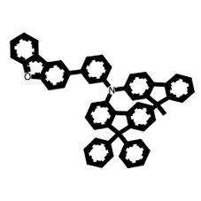 CC1(C)c2ccccc2-c2ccc(N(c3cccc(-c4ccc5oc6ccccc6c5c4)c3)c3cccc4c3-c3ccccc3C4(c3ccccc3)c3ccccc3)cc21